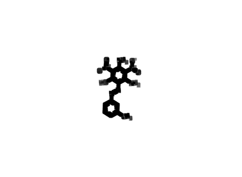 Cc1cccc(N=Nc2c(N)c([N+](=O)[O-])c(N)c([N+](=O)[O-])c2O)c1